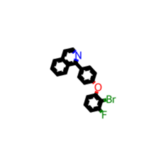 Fc1cccc(Oc2ccc(-c3nccc4ccccc34)cc2)c1Br